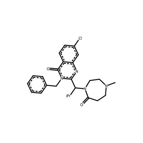 CC(C)C(c1nc2cc(Cl)ccc2c(=O)n1Cc1ccccc1)N1CCN(C)CCC1=O